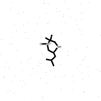 CC(C)CC1C[NH+]([O-])C(C)(C)CN1